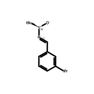 CC(C)c1cccc(/C=N/[S@+]([O-])C(C)(C)C)c1